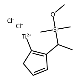 CO[Si](C)(C)C(C)C1=[C]([Ti+2])CC=C1.[Cl-].[Cl-]